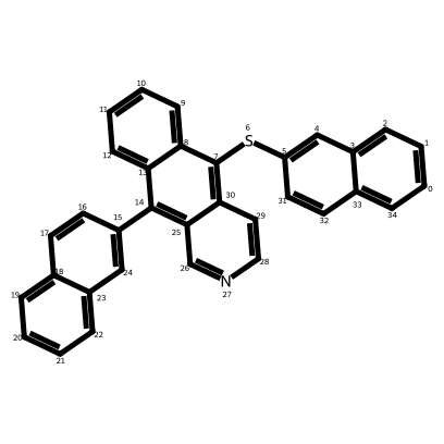 c1ccc2cc(Sc3c4ccccc4c(-c4ccc5ccccc5c4)c4cnccc34)ccc2c1